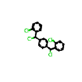 Clc1ccccc1C(Cl)c1ccc(C(Cl)c2ccccc2Cl)cc1